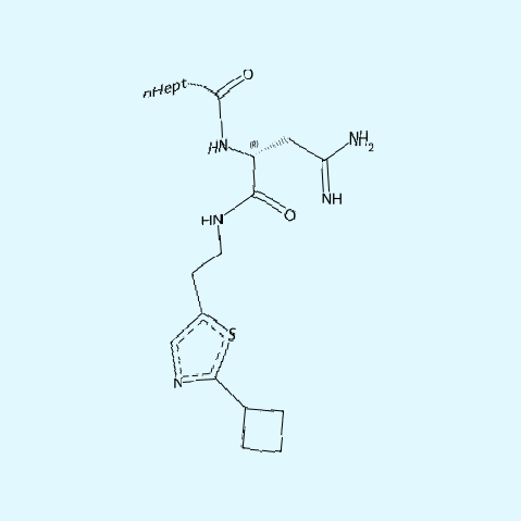 CCCCCCCC(=O)N[C@H](CC(=N)N)C(=O)NCCc1cnc(C2CCC2)s1